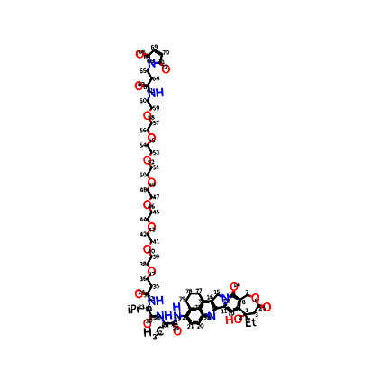 CCC1(O)CC(=O)OCc2c1cc1n(c2=O)Cc2c-1nc1ccc(NC(=O)[C@H](C)NC(=O)[C@@H](NC(=O)CCOCCOCCOCCOCCOCCOCCOCCOCCNC(=O)CCN3C(=O)C=CC3=O)C(C)C)c3c1c2CCC3